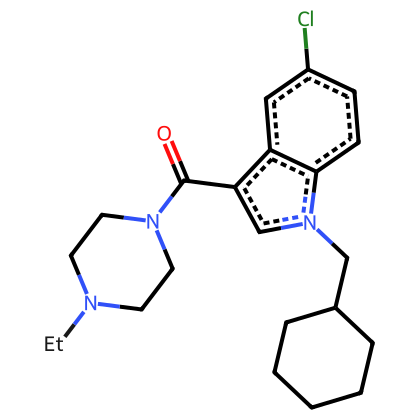 CCN1CCN(C(=O)c2cn(CC3CCCCC3)c3ccc(Cl)cc23)CC1